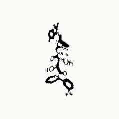 Cc1ccc2nc(C)n(Cc3csc(CNC(=O)[C@H](O)[C@@H](O)C(=O)N4CCCC4c4cccc(N(C)C)c4)n3)c2c1